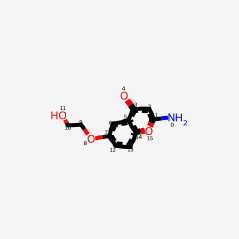 Nc1cc(=O)c2cc(OCCO)ccc2o1